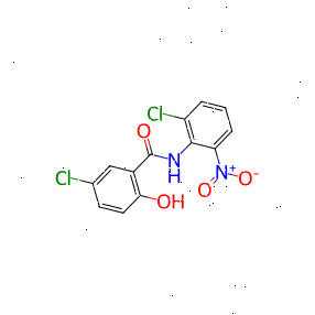 O=C(Nc1c(Cl)cccc1[N+](=O)[O-])c1cc(Cl)ccc1O